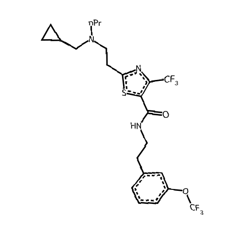 CCCN(CCc1nc(C(F)(F)F)c(C(=O)NCCc2cccc(OC(F)(F)F)c2)s1)CC1CC1